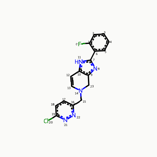 Fc1ccccc1-c1nc2c([nH]1)C=CN(Cc1ccc(Cl)nn1)C2